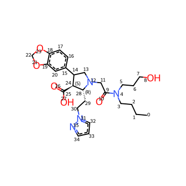 CCCCN(CCCO)C(=O)CN1CC(c2ccc3c(c2)OCO3)[C@H](C(=O)O)[C@H]1CCn1cccn1